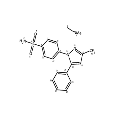 CNC.NS(=O)(=O)c1ccc(-n2nc(C(F)(F)F)cc2-c2ccccc2)cc1